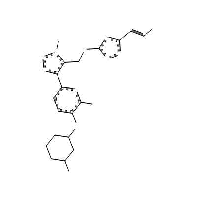 C/C=C/c1nc(NCc2c(-c3ccc(OC4CCCC(C(=O)O)C4)c(C)n3)nnn2C)no1